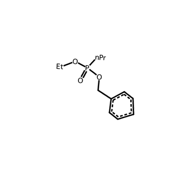 CCCP(=O)(OCC)OCc1ccccc1